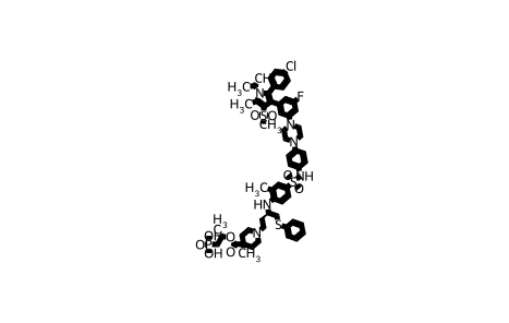 Cc1cc(S(=O)(=O)Nc2ccc(N3CCN(c4cc(F)cc(-c5c(S(C)(=O)=O)c(C)n(C(C)C)c5-c5ccc(Cl)cc5)c4)CC3)cc2)ccc1N[C@H](CCN1CCC(C)(C(=O)OC(C)CP(=O)(O)O)CC1)CSc1ccccc1